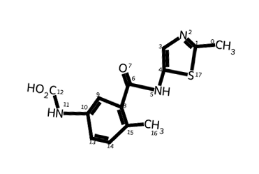 Cc1ncc(NC(=O)c2cc(NC(=O)O)ccc2C)s1